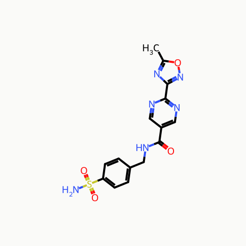 Cc1nc(-c2ncc(C(=O)NCc3ccc(S(N)(=O)=O)cc3)cn2)no1